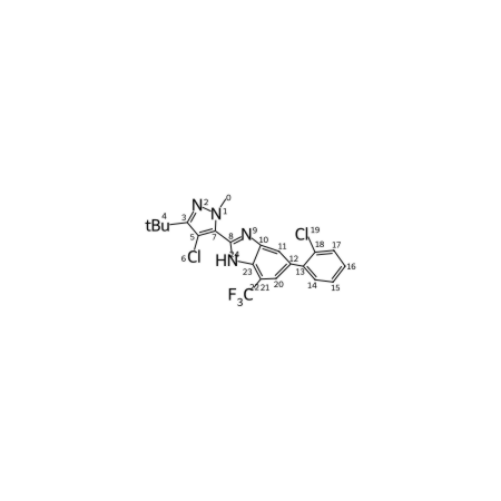 Cn1nc(C(C)(C)C)c(Cl)c1-c1nc2cc(-c3ccccc3Cl)cc(C(F)(F)F)c2[nH]1